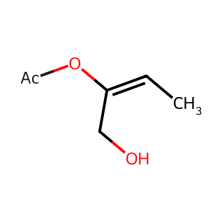 CC=C(CO)OC(C)=O